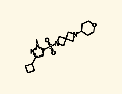 Cn1nc(C2CCC2)cc1S(=O)(=O)N1CC2(CN(C3CCOCC3)C2)C1